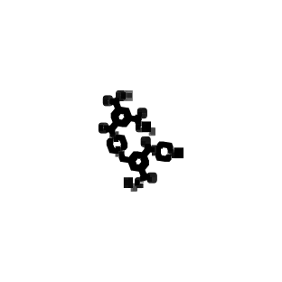 CC(=O)c1cc(CN2CCN(C(=O)c3cc(C(C)=O)cc(C(=O)O)c3)CC2)cc(C(=O)N2CCNCC2)c1